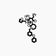 CCC[C@H](C(=O)NCc1ccco1)C(CC(C)C)C(=O)N[C@H]1CCCCN(Cc2cccc(Oc3ccccc3)c2)C1=O